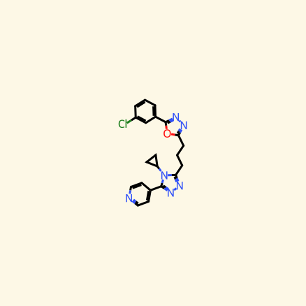 Clc1cccc(-c2nnc(CCCc3nnc(-c4ccncc4)n3C3CC3)o2)c1